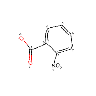 [O]C(=O)c1ccccc1[N+](=O)[O-]